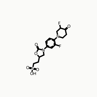 O=C1CCN(c2ccc(N3CC(CCS(=O)(=O)O)OC3=O)cc2F)CC1F